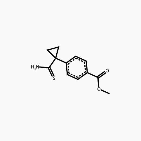 COC(=O)c1ccc(C2(C(N)=S)CC2)cc1